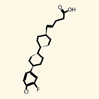 O=C(O)CCC=C[C@H]1CC[C@H]([C@H]2CC[C@H](c3ccc(Cl)c(F)c3)CC2)CC1